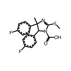 CSC1=NC(C)(c2ccc(F)cc2)C(c2ccc(F)cc2)N1C(=O)O